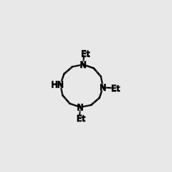 CCN1CCNCCN(CC)CCN(CC)CC1